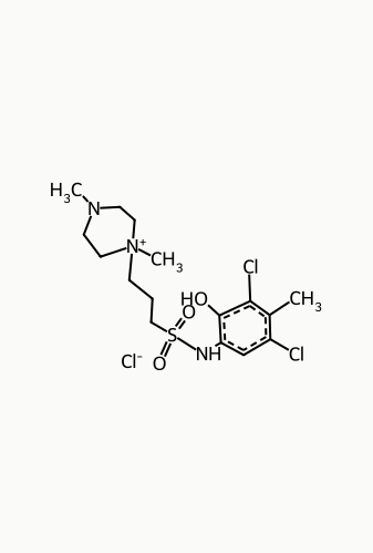 Cc1c(Cl)cc(NS(=O)(=O)CCC[N+]2(C)CCN(C)CC2)c(O)c1Cl.[Cl-]